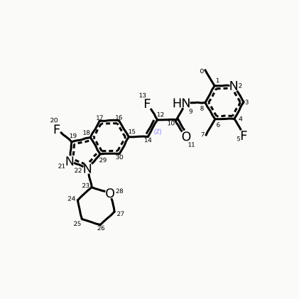 Cc1ncc(F)c(C)c1NC(=O)/C(F)=C/c1ccc2c(F)nn(C3CCCCO3)c2c1